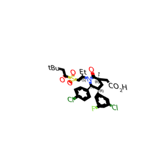 CC[C@@H](CS(=O)(=O)C(=O)CC(C)(C)C)N1C(=O)[C@@](C)(CC(=O)O)C[C@H](c2cc(F)cc(Cl)c2)[C@H]1c1ccc(Cl)cc1